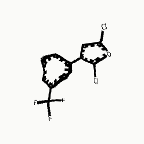 FC(F)(F)c1[c]ccc(-c2cc(Cl)oc2Cl)c1